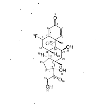 C[C@]12C=CC(=O)C=C1C(F)C[C@H]1[C@@H]3CC[C@](O)(C(=O)CO)[C@@]3(C)C[C@H](O)[C@@]12Cl